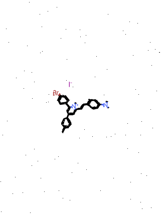 Cc1ccc(-c2cc(/C=C/c3ccc(N(C)C)cc3)[n+](C)c(-c3ccc(Br)cc3)c2)cc1.[I-]